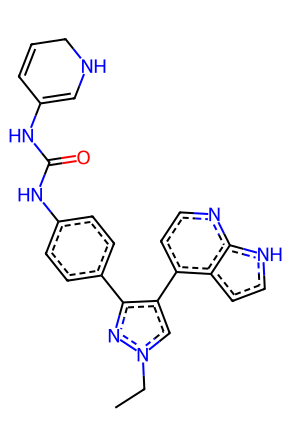 CCn1cc(-c2ccnc3[nH]ccc23)c(-c2ccc(NC(=O)NC3=CNCC=C3)cc2)n1